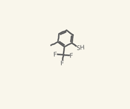 Cc1cccc(S)c1C(F)(F)F